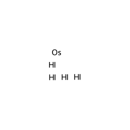 I.I.I.I.[Os]